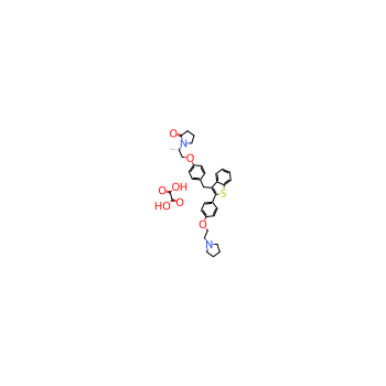 C[C@@H](COc1ccc(Cc2c(-c3ccc(OCCN4CCCC4)cc3)sc3ccccc23)cc1)N1CCCC1=O.O=C(O)C(=O)O